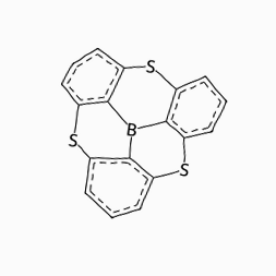 c1cc2c3c(c1)Sc1cccc4c1B3c1c(cccc1S4)S2